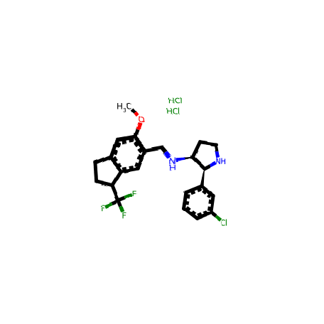 COc1cc2c(cc1CN[C@H]1CCN[C@H]1c1cccc(Cl)c1)C(C(F)(F)F)CC2.Cl.Cl